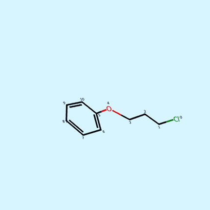 ClCCCOc1cc[c]cc1